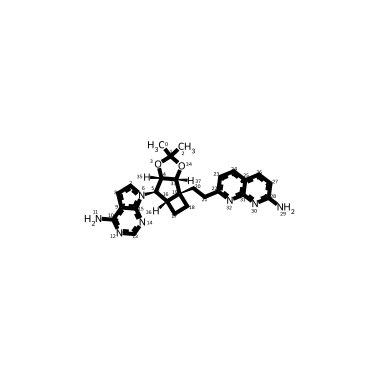 CC1(C)O[C@H]2[C@H](n3ccc4c(N)ncnc43)[C@H]3CC[C@@]3(CCc3ccc4ccc(N)nc4n3)[C@H]2O1